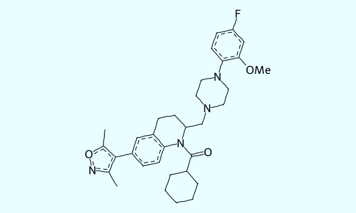 COc1cc(F)ccc1N1CCN(CC2CCc3cc(-c4c(C)noc4C)ccc3N2C(=O)C2CCCCC2)CC1